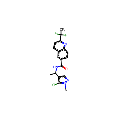 CC(NC(=O)c1ccc2nc(C(F)(F)C(F)(F)F)ccc2c1)c1cnn(C)c1Cl